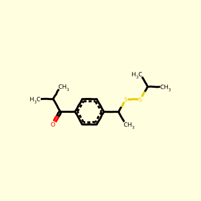 CC(C)SSC(C)c1ccc(C(=O)C(C)C)cc1